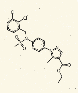 CCOC(=O)c1cnn(-c2ccc(N(Cc3cccc(Cl)c3Cl)S(C)(=O)=O)cc2)c1C